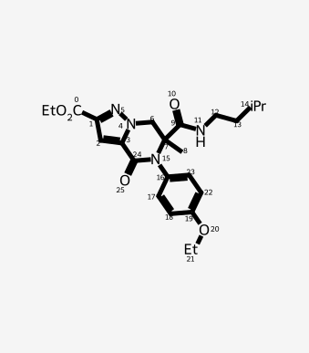 CCOC(=O)c1cc2n(n1)CC(C)(C(=O)NCCC(C)C)N(c1ccc(OCC)cc1)C2=O